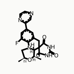 C[C@H]1CN2c3c(F)cc(-c4cnccn4)cc3CC3(C(=O)NC(=O)NC3=O)[C@@H]2[C@@H](C)O1